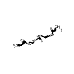 C=CC(=O)NCCNC(=O)NCCNC(=O)C=C